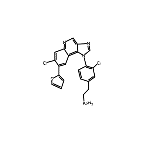 Clc1cc2ncc3ncn(-c4ccc(CC[AsH2])cc4Cl)c3c2cc1-c1cccs1